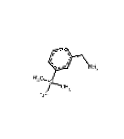 C[Si](C)(C)c1cccc(CN)c1